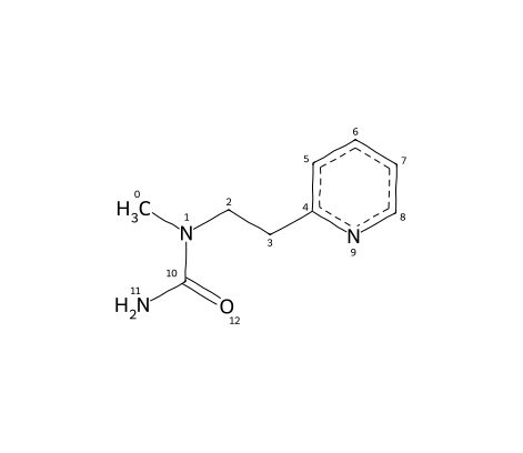 CN(CCc1ccccn1)C(N)=O